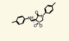 Cc1ccc(N/C=C2\C(=O)N(c3ccc(C)cc3)CS2(=O)=O)cc1